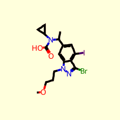 COCCCn1nc(Br)c2c(I)cc(C(C)N(C(=O)O)C3CC3)cc21